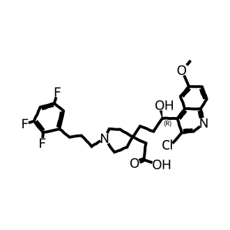 COc1ccc2ncc(Cl)c([C@H](O)CCC3(CC(=O)O)CCN(CCCc4cc(F)cc(F)c4F)CC3)c2c1